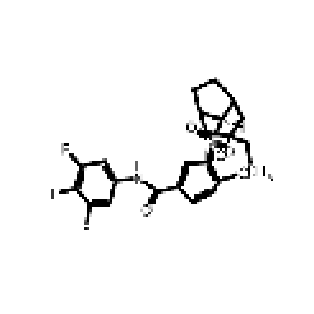 CC[C@]1(O)CC2CCC(C1)[C@H]2S(=O)(=O)c1cc(C(=O)Nc2cc(F)c(F)c(F)c2)ccc1Cl